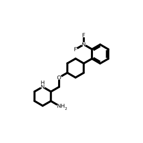 NC1CCCNC1COC1CCC(c2ccccc2N(F)F)CC1